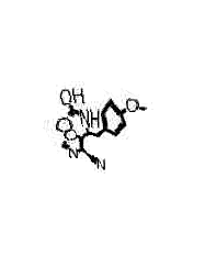 COc1ccc(CC(NC(=O)O)c2ocnc2C#N)cc1